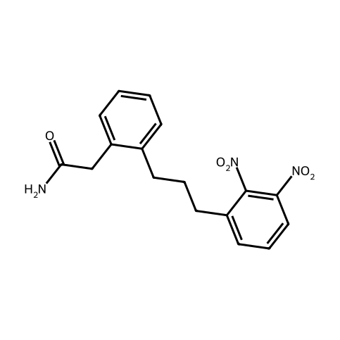 NC(=O)Cc1ccccc1CCCc1cccc([N+](=O)[O-])c1[N+](=O)[O-]